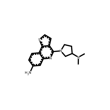 CN(C)C1CCN(c2nc3cc(N)ccc3c3sccc23)C1